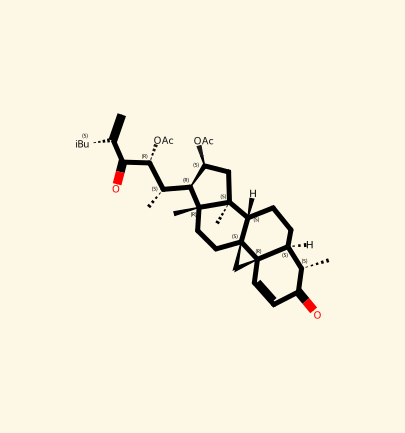 C=C(C(=O)[C@H](OC(C)=O)[C@@H](C)[C@H]1[C@@H](OC(C)=O)C[C@@]2(C)[C@@H]3CC[C@H]4[C@H](C)C(=O)C=C[C@@]45C[C@@]35CC[C@]12C)[C@@H](C)CC